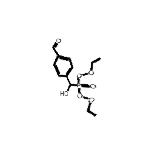 CCOOP(=O)(OOCC)C(O)c1ccc(C=O)cc1